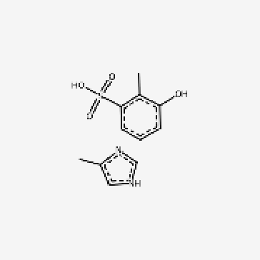 Cc1c(O)cccc1S(=O)(=O)O.Cc1c[nH]cn1